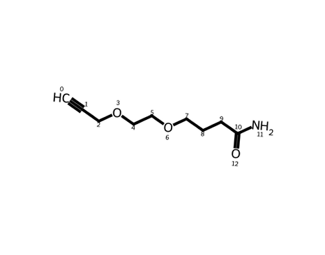 C#CCOCCOCCCC(N)=O